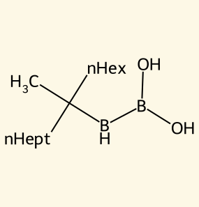 CCCCCCCC(C)(BB(O)O)CCCCCC